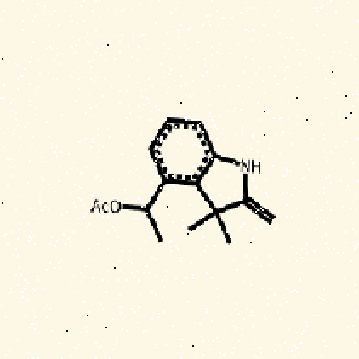 C=C1Nc2cccc(C(C)OC(C)=O)c2C1(C)C